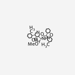 COC(=O)C[C@H](NC(=O)C(c1ccccc1)n1cc(C)ccc1=O)c1cncc(-c2c(C)cccc2C)c1